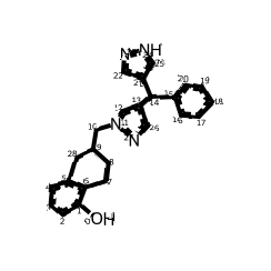 Oc1cccc2c1CCC(Cn1cc(C(c3ccccc3)c3cn[nH]c3)cn1)C2